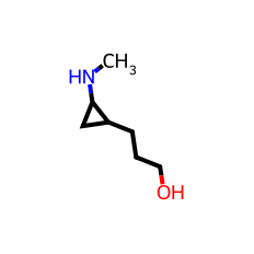 CNC1CC1CCCO